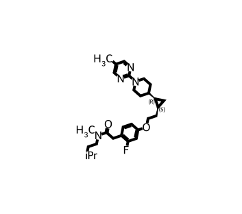 Cc1cnc(N2CCC([C@H]3C[C@H]3CCOc3ccc(CC(=O)N(C)CCC(C)C)c(F)c3)CC2)nc1